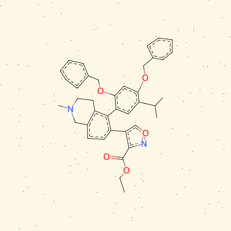 CCOC(=O)c1nocc1-c1ccc2c(c1-c1cc(C(C)C)c(OCc3ccccc3)cc1OCc1ccccc1)CCN(C)C2